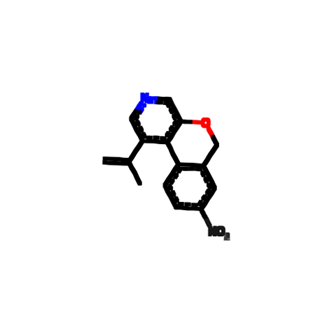 C=C(C)c1cncc2c1-c1ccc([N+](=O)[O-])cc1CO2